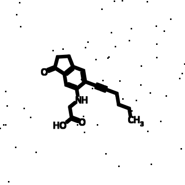 CCCCC#Cc1cc2c(cc1NCC(=O)O)C(=O)CC2